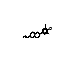 C/C=C/C1CCC2CC(c3cc(F)c(Cl)c(F)c3)CCC2C1